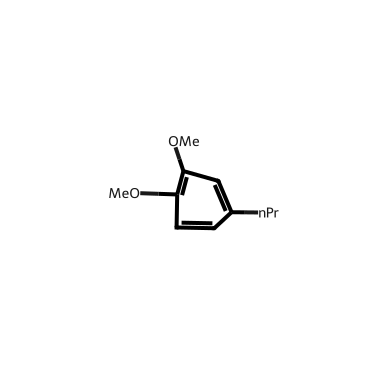 CCCc1ccc(OC)c(OC)c1